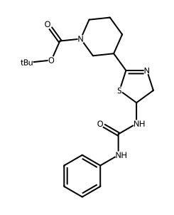 CC(C)(C)OC(=O)N1CCCC(C2=NCC(NC(=O)Nc3ccccc3)S2)C1